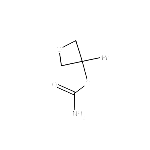 CC(C)C1(OC(N)=O)COC1